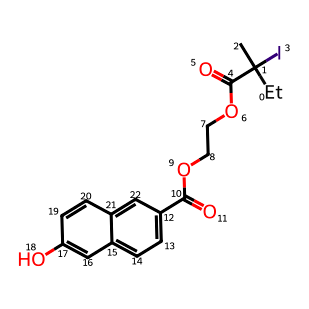 CCC(C)(I)C(=O)OCCOC(=O)c1ccc2cc(O)ccc2c1